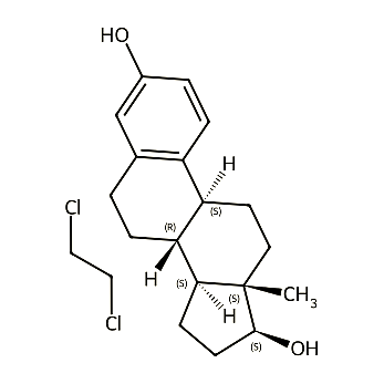 C[C@]12CC[C@@H]3c4ccc(O)cc4CC[C@H]3[C@@H]1CC[C@@H]2O.ClCCCl